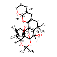 C=C1C(=O)C23[C@@H]4OC(C)(C)OC25OC[C@]2(C6=C(C[C@@H]7CCCO[C@@H]7O6)CC(C)(C)[C@H]2[C@@H]5O)[C@@H]3CC[C@@H]14